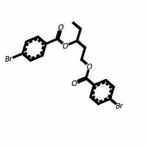 CCC(CCOC(=O)c1ccc(Br)cc1)OC(=O)c1ccc(Br)cc1